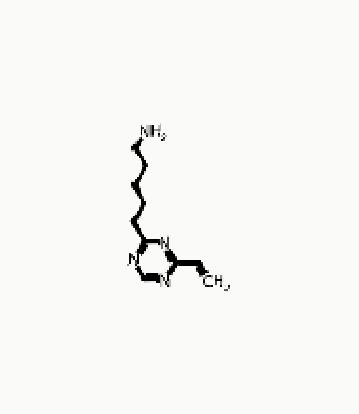 C=Cc1ncnc(CCCCCN)n1